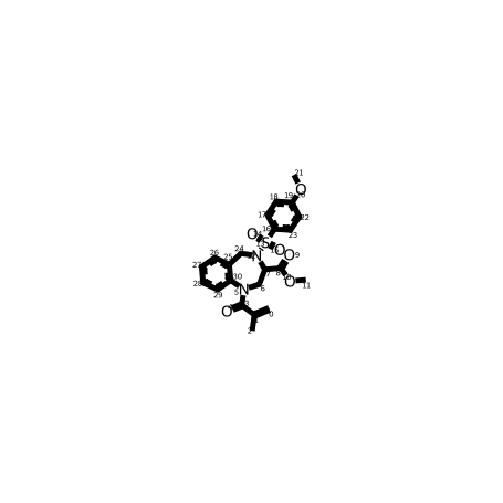 C=C(C)C(=O)N1CC(C(=O)OC)N(S(=O)(=O)c2ccc(OC)cc2)Cc2ccccc21